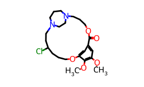 COc1cc2cc(c1OC)OCCCC(Cl)CCN1CCCN(CCCOC2=O)CC1